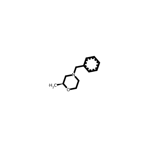 [CH2][C@H]1CN(Cc2ccccc2)CCO1